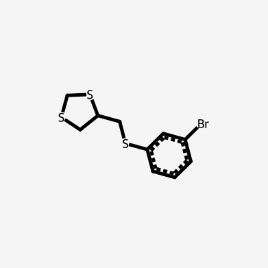 Brc1cccc(SCC2CSCS2)c1